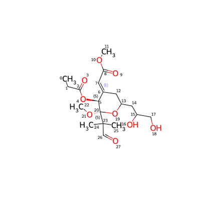 CCC(=O)O[C@H]1/C(=C/C(=O)OC)CC(CC(O)CO)O[C@@]1(OC)C(C)(C)C=O